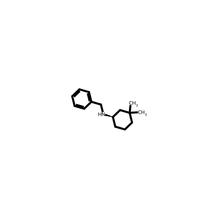 CC1(C)CCC[C@@H](NCc2ccccc2)C1